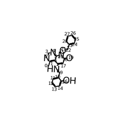 Cc1ncnc2c1c(NCc1ccccc1O)cc(=O)n2OCc1ccccc1